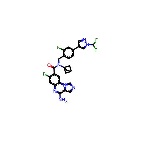 Nc1nc2cc(F)c(C(=O)N(Cc3ccc(-c4cnn(C(F)F)c4)cc3F)C34CC(C3)C4)cc2n2cncc12